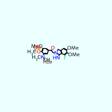 Br.COc1cc(C(=O)CN2Cc3cc(OC)c(OC)c(F)c3C2=N)cc(N(C)C)c1OS(C)(=O)=O